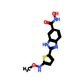 CONc1ccc(-c2nc3ccc(C(=O)NO)cc3[nH]2)s1